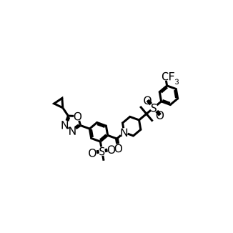 CC(C)(C1CCN(C(=O)c2ccc(-c3nnc(C4CC4)o3)cc2S(C)(=O)=O)CC1)S(=O)(=O)c1cccc(C(F)(F)F)c1